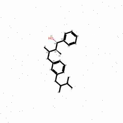 CC(C)C(C)Cc1cccc(CC(C)[C@H](C)[C@H](O)c2ccccc2)c1